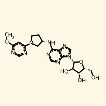 COc1cc(N2CC[C@H](Nc3ncnc4c3ncn4[C@@H]3O[C@H](CO)[C@@H](O)[C@H]3O)C2)ncn1